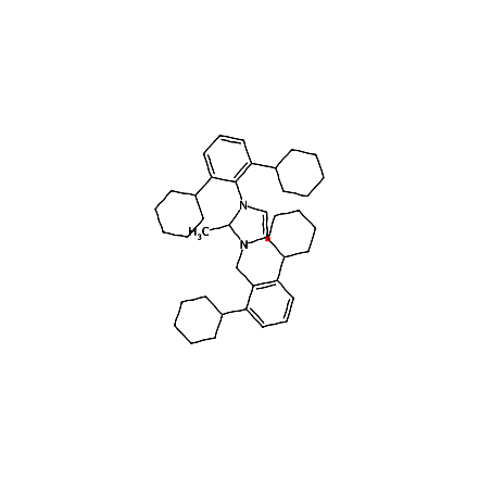 CC1N(Cc2c(C3CCCCC3)cccc2C2CCCCC2)C=CN1c1c(C2CCCCC2)cccc1C1CCCCC1